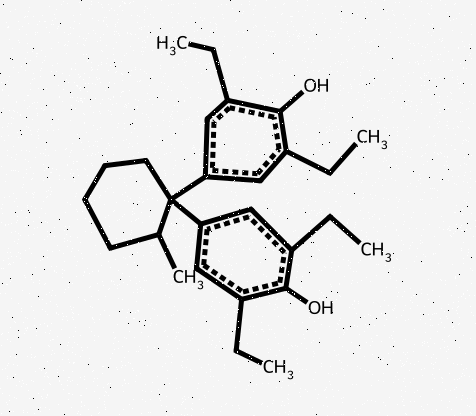 CCc1cc(C2(c3cc(CC)c(O)c(CC)c3)CCCCC2C)cc(CC)c1O